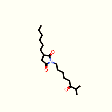 CCCCCCC1CC(=O)N(CCCCCC(=O)C(C)C)C1=O